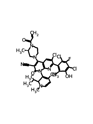 C=CC(=O)N1CCN(c2c(C#N)c(=O)n(C3=C(C)C=CN(C)C3C(C)C)c3nc(-c4c(Cl)c(O)c(Cl)c(F)c4Cl)c(Cl)cc23)C[C@H]1C